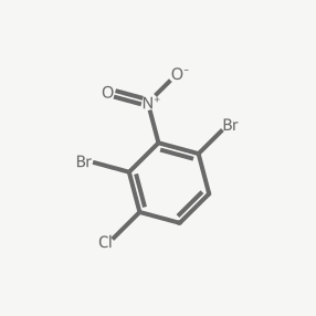 O=[N+]([O-])c1c(Br)ccc(Cl)c1Br